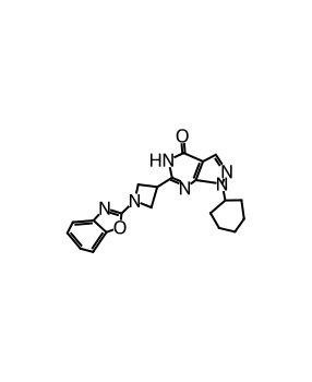 O=c1[nH]c(C2CN(c3nc4ccccc4o3)C2)nc2c1cnn2C1CCCCC1